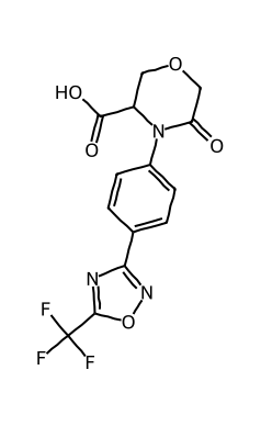 O=C(O)C1COCC(=O)N1c1ccc(-c2noc(C(F)(F)F)n2)cc1